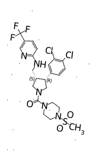 CS(=O)(=O)N1CCN(C(=O)N2C[C@H](CNc3ccc(C(F)(F)F)cn3)[C@H](c3ccc(Cl)c(Cl)c3)C2)CC1